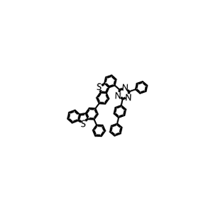 c1ccc(-c2ccc(-c3nc(-c4ccccc4)nc(-c4cccc5sc6cc(-c7cc(-c8ccccc8)c8sc9ccccc9c8c7)ccc6c45)n3)cc2)cc1